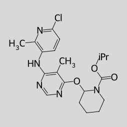 Cc1nc(Cl)ccc1Nc1ncnc(OC2CCCCN2C(=O)OC(C)C)c1C